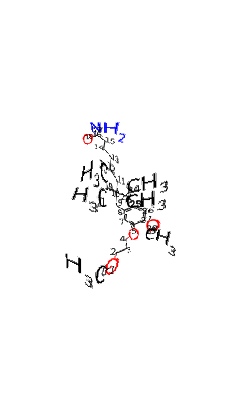 COCCCOc1cc(CC(CCCCCC(N)=O)(C(C)C)C(C)C)ccc1OC